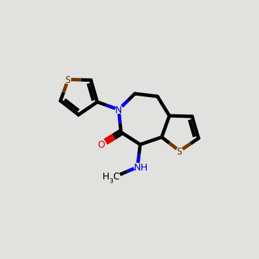 CNC1C(=O)N(c2ccsc2)CCC2C=CSC21